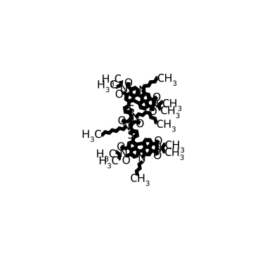 CCCCCCCCN1C(=O)C2=C(c3ccc(-c4cc5c(=O)n(C(CC)CC)c(=O)c6cc7c8c(c4c4ccc9c(=O)n(C(CC)CC)c(=O)c%10cc(c8c4c9%10)n7CCCCCC)c56)s3)N(CCCCCCCC)C(=O)C2=C1c1ccc(-c2cc3c(=O)n(C(CC)CC)c(=O)c4cc5c6c(c2c2ccc7c(=O)n(C(CC)CC)c(=O)c8cc(c6c2c78)n5CCCCCC)c34)s1